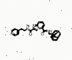 O=C(NCCc1ccncc1)c1cn2c(C(=O)NCC34CC5CC(CC(C5)C3)C4)cccc2n1